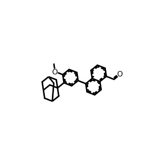 COc1ccc(-c2cccc3c(C=O)cccc23)cc1C12CC3CC(CC(C3)C1)C2